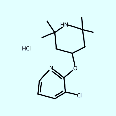 CC1(C)CC(Oc2ncccc2Cl)CC(C)(C)N1.Cl